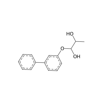 CC(O)C(O)Oc1cccc(-c2ccccc2)c1